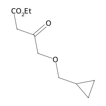 CCOC(=O)CC(=O)COCC1CC1